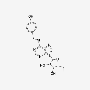 CCC1OC(n2cnc3c(NCc4ccc(O)cc4)ncnc32)C(O)C1O